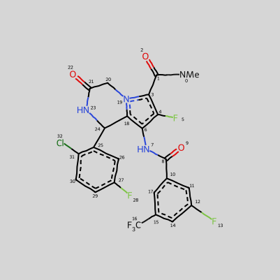 CNC(=O)c1c(F)c(NC(=O)c2cc(F)cc(C(F)(F)F)c2)c2n1CC(=O)NC2c1cc(F)ccc1Cl